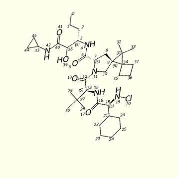 CCC[C@H](NC(=O)[C@@H]1C[C@@]2(CN1C(=O)[C@@H](NC(=O)[C@@H](NCl)C1CCCCC1)C(C)(C)C)C(C)(C)C21CCC1)C(O)C(=O)NC1CC1